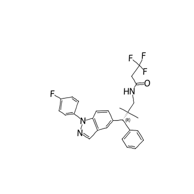 CC(C)(CNC(=O)CC(F)(F)F)[C@H](c1ccccc1)c1ccc2c(cnn2-c2ccc(F)cc2)c1